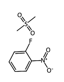 CS(C)(=O)=O.O=[N+]([O-])c1ccccc1F